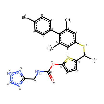 CCCC(Sc1cc(C)c(-c2ccc(C(C)(C)C)cc2)c(C)c1)c1ccc(OC(=O)NCc2nn[nH]n2)s1